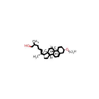 CC(CO)CCC[C@@H](C)[C@H]1CC[C@H]2[C@@H]3CC=C4C[C@@H](OS(=O)(=O)O)CC[C@]4(C)[C@H]3CC[C@]12C